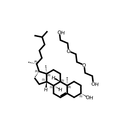 CC(C)CCC[C@@H](C)[C@H]1CC[C@H]2[C@@H]3CC=C4C[C@@H](O)CC[C@]4(C)[C@H]3CC[C@]12C.OCCOCCOCCO